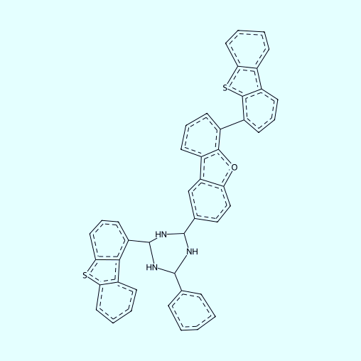 c1ccc(C2NC(c3ccc4oc5c(-c6cccc7c6sc6ccccc67)cccc5c4c3)NC(c3cccc4sc5ccccc5c34)N2)cc1